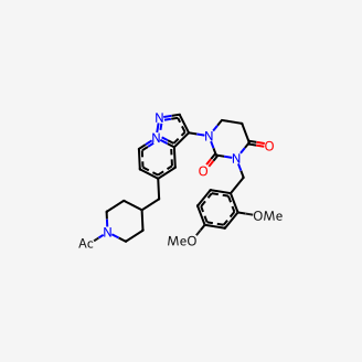 COc1ccc(CN2C(=O)CCN(c3cnn4ccc(CC5CCN(C(C)=O)CC5)cc34)C2=O)c(OC)c1